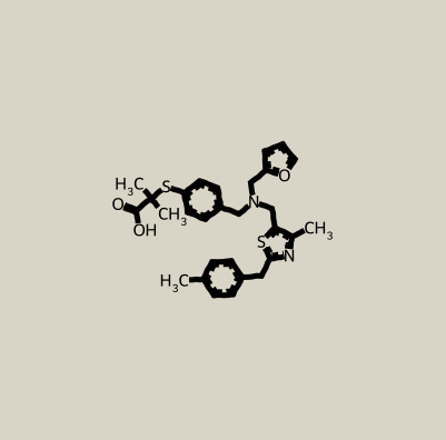 Cc1ccc(Cc2nc(C)c(CN(Cc3ccc(SC(C)(C)C(=O)O)cc3)Cc3ccco3)s2)cc1